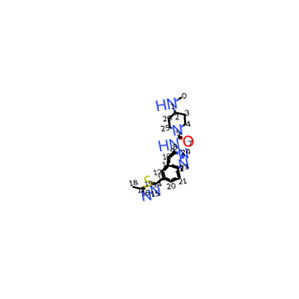 CNC1CCN(C(=O)Nc2cc3cc(-c4nnc(C)s4)ccc3nn2)CC1